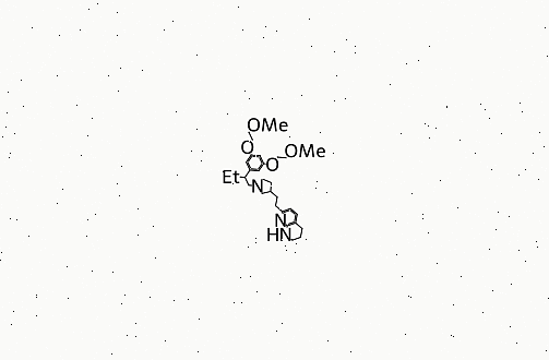 CCC(CN1CCC(CCc2ccc3c(n2)NCCC3)C1)c1cc(OCCOC)cc(OCCOC)c1